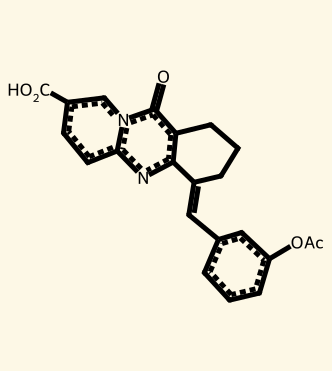 CC(=O)Oc1cccc(C=C2CCCc3c2nc2ccc(C(=O)O)cn2c3=O)c1